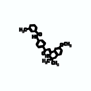 COc1ccc2c(c1)C(=CC(=O)c1ccc(NC(=O)c3cccc(C)c3)cc1)NC(C)(C)C2